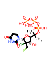 CC(C)(OP(=O)(O)OP(=O)(O)OP(=O)(O)O)C1O[C@@H](n2ccc(=O)[nH]c2=O)C(Cl)(CF)[C@H]1O